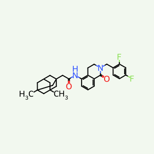 CC12CC3CC(C)(C1)CC(CC(=O)Nc1cccc4c1CCN(Cc1ccc(F)cc1F)C4=O)(C3)C2